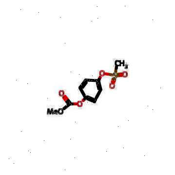 COC(=O)Oc1ccc(OS(C)(=O)=O)cc1